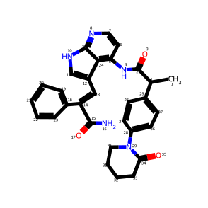 CC(C(=O)Nc1ccnc2[nH]cc(/C=C(/C(N)=O)c3ccccc3)c12)c1ccc(N2CCCCC2=O)cc1